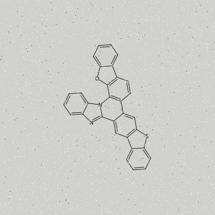 c1ccc2c(c1)nc1c3cc4c(cc3c3ccc5c6ccccc6oc5c3n21)sc1ccccc14